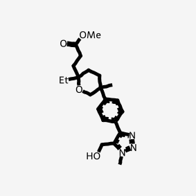 CCC1(CCC(=O)OC)CCC(C)(c2ccc(-c3nnn(C)c3CO)cc2)CO1